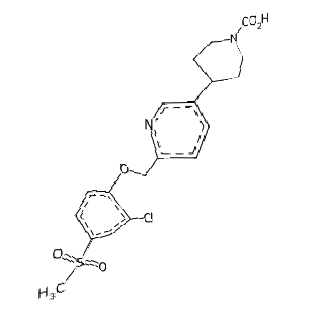 CS(=O)(=O)c1ccc(OCc2ccc(C3CCN(C(=O)O)CC3)cn2)c(Cl)c1